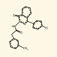 Cc1cccc(CC(=O)Nn2nc(-c3ccc(Cl)cc3)c3ccccc3c2=O)c1